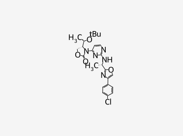 C[C@H](Nc1nccc(N2C(=O)OC[C@@H]2[C@@H](C)OC(C)(C)C)n1)c1nc(-c2ccc(Cl)cc2)co1